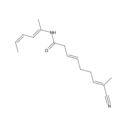 C/C=C\C=C(/C)NC(=O)C/C=C/CC/C=C(\C)C#N